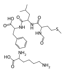 CSCCC(NC=O)C(=O)NC(CC(C)C)C(=O)NC(Cc1ccccc1)C(=O)O.NCCCCC(N)C(=O)O